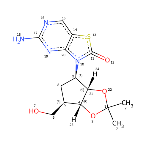 CC1(C)O[C@@H]2[C@@H](CO)C[C@@H](n3c(=O)sc4cnc(N)nc43)[C@@H]2O1